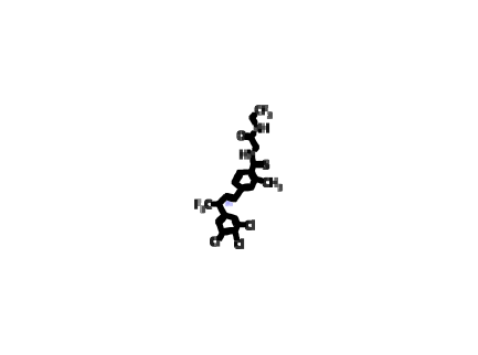 Cc1cc(/C=C/C(c2cc(Cl)c(Cl)c(Cl)c2)C(F)(F)F)ccc1C(=S)NCC(=O)NCC(F)(F)F